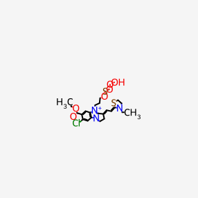 CCOC(=O)c1cc2c(cc1Cl)n1c([n+]2CCCOSOOO)C(=CC=C2SCCN2CC)CC1